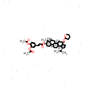 C=C(C)[C@@H]1CC[C@]2(COC3CCCCO3)CC[C@]3(C)[C@H](CC[C@@H]4[C@@]5(C)CC[C@H](OC(=O)/C=C/c6ccc(OC(C)=O)c(OC(C)=O)c6)C(C)(C)[C@@H]5CC[C@]43C)[C@@H]12